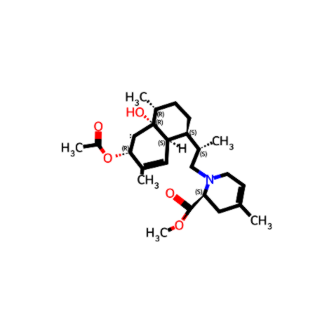 COC(=O)[C@@H]1CC(C)=CCN1C[C@@H](C)[C@@H]1CC[C@@H](C)[C@]2(O)[C][C@@H](OC(C)=O)C(C)=C[C@H]12